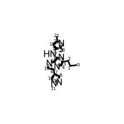 CCCc1cn2c(-c3cnn(C)c3)cnc2c(Nc2cc(C)ns2)n1